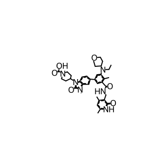 CCN(c1cc(-c2ccc3c(c2)n(C)c(=O)n3C2CCN(C(=O)O)CC2)cc(C(=O)NCc2c(C)cc(C)[nH]c2=O)c1C)C1CCOCC1